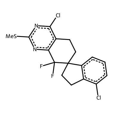 CSc1nc(Cl)c2c(n1)C(F)(F)C1(CCc3c(Cl)cccc31)CC2